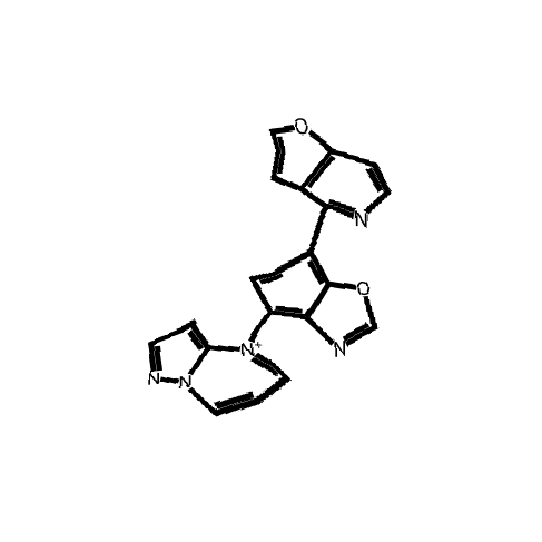 c1cn2nccc2[n+](-c2ccc(-c3nccc4occc34)c3ocnc23)c1